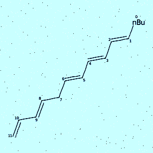 [CH2]CCC/C=C/C=C/C=C/C/C=C/C=C